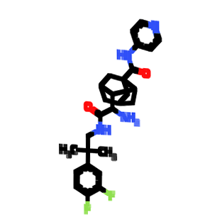 CC(C)(CNC(=O)C(N)C1C2CC3CC1C(C(=O)Nc1ccncc1)(C3)C2)c1ccc(F)c(F)c1